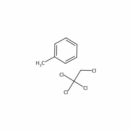 Cc1ccccc1.ClCC(Cl)(Cl)Cl